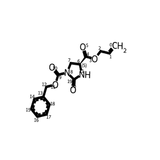 C=CCOC(=O)[C@@H]1CN(C(=O)OCc2ccccc2)C(=O)N1